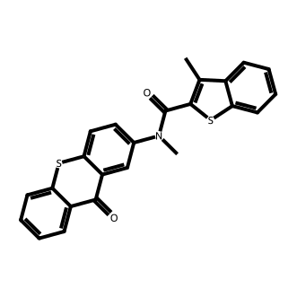 Cc1c(C(=O)N(C)c2ccc3sc4ccccc4c(=O)c3c2)sc2ccccc12